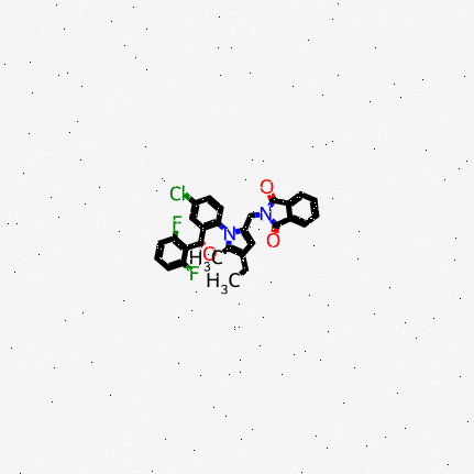 CCc1cc(CN2C(=O)c3ccccc3C2=O)n(-c2ccc(Cl)cc2C(=O)c2c(F)cccc2F)c1C